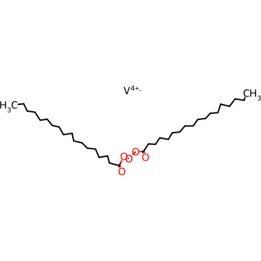 CCCCCCCCCCCCCCCCCC(=O)OOOC(=O)CCCCCCCCCCCCCCCCC.[V+4]